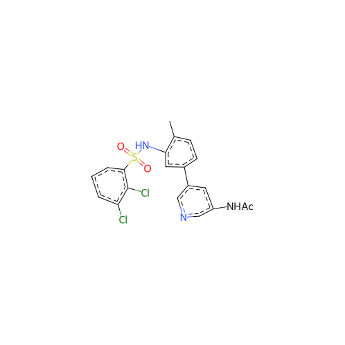 CC(=O)Nc1cncc(-c2ccc(C)c(NS(=O)(=O)c3cccc(Cl)c3Cl)c2)c1